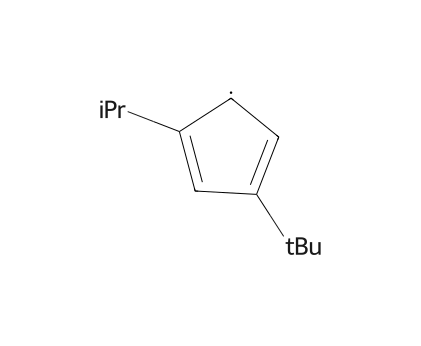 CC(C)C1=CC(C(C)(C)C)=C[CH]1